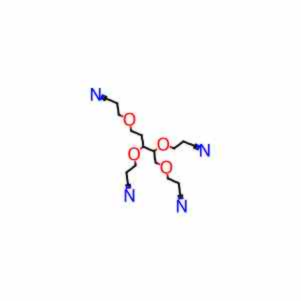 N#CCCOCCC(OCCC#N)C(COCCC#N)OCCC#N